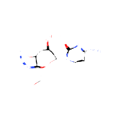 [N-]=[N+]=N[C@]1(CO)O[C@@H](n2ccc(N)nc2=O)C(O)C1O